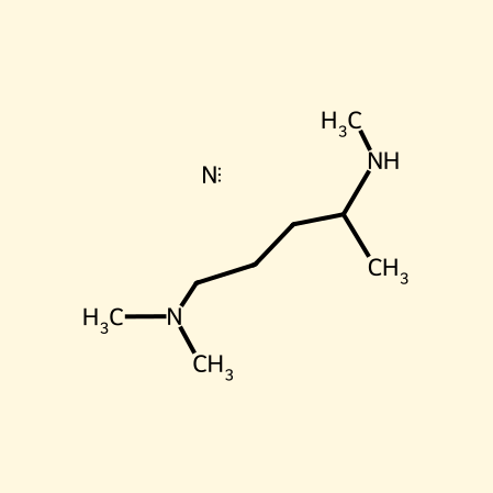 CNC(C)CCCN(C)C.[N]